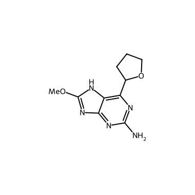 COc1nc2nc(N)nc(C3CCCO3)c2[nH]1